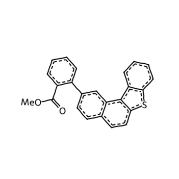 COC(=O)c1ccccc1-c1ccc2ccc3sc4ccccc4c3c2c1